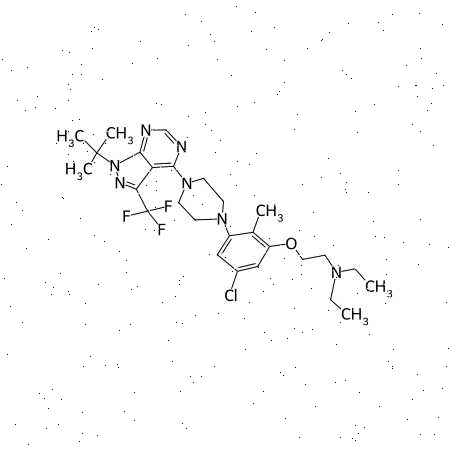 CCN(CC)CCOc1cc(Cl)cc(N2CCN(c3ncnc4c3c(C(F)(F)F)nn4C(C)(C)C)CC2)c1C